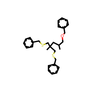 CC(COCc1ccccc1)CC(C)(CSCc1ccccc1)CSCc1ccccc1